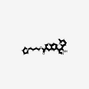 Cc1cccc(-c2[nH]ncc2-c2ccc3ncc(C(=O)OCCCCN4CCCC4)cc3c2)n1